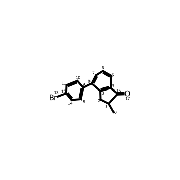 CC1Cc2c(cccc2-c2ccc(Br)cc2)C1=O